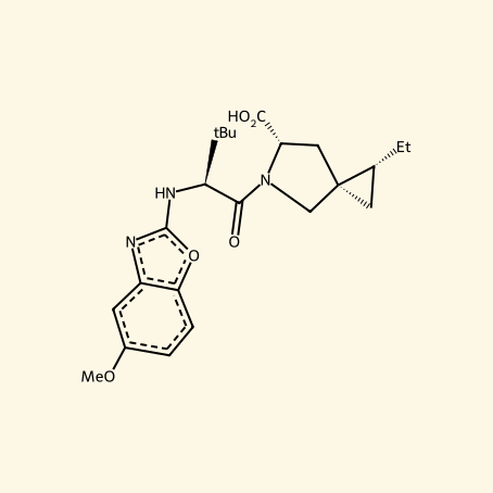 CC[C@@H]1C[C@]12C[C@@H](C(=O)O)N(C(=O)[C@@H](Nc1nc3cc(OC)ccc3o1)C(C)(C)C)C2